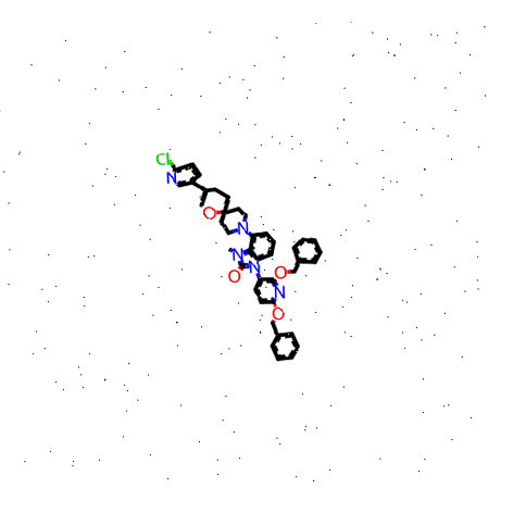 Cn1c(=O)n(-c2ccc(OCc3ccccc3)nc2OCc2ccccc2)c2cccc(N3CCC4(CCC(c5ccc(Cl)nc5)CO4)CC3)c21